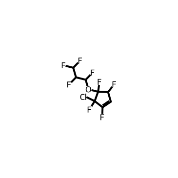 FC1=CC(F)C(F)(OC(F)C(F)C(F)F)C1(F)Cl